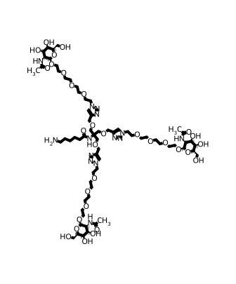 CC(=O)N[C@H]1[C@H](OCCOCCOCCOCCn2cc(COCC(COCc3cn(CCOCCOCCOCCO[C@@H]4O[C@H](CO)[C@H](O)[C@H](O)[C@H]4NC(C)=O)nn3)(COCc3cn(CCOCCOCCOCCO[C@@H]4O[C@H](CO)[C@H](O)[C@H](O)[C@H]4NC(C)=O)nn3)NC(=O)CCCCCN)nn2)O[C@H](CO)[C@H](O)[C@@H]1O